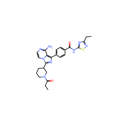 CCC(=O)N1CCCC(c2nc(-c3ccc(C(=O)Nc4nc(CC)ns4)cc3)c3c(N)nccn23)C1